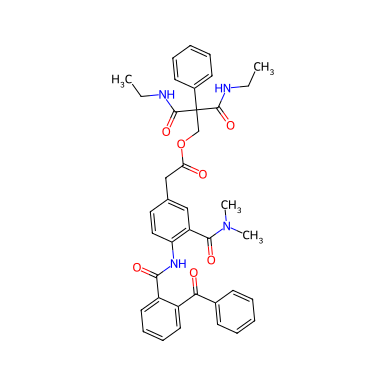 CCNC(=O)C(COC(=O)Cc1ccc(NC(=O)c2ccccc2C(=O)c2ccccc2)c(C(=O)N(C)C)c1)(C(=O)NCC)c1ccccc1